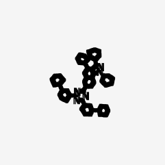 c1ccc(-c2cccc(-c3nc(-c4cccc(-c5ccccc5)c4)nc(-c4ccc5c(c4)cc(-c4ccccc4)c4c(-c6ccccc6)nn(-c6ccccc6)c45)n3)c2)cc1